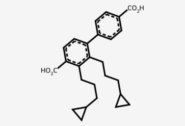 O=C(O)c1ccc(-c2ccc(C(=O)O)c(CCCC3CC3)c2CCCC2CC2)cc1